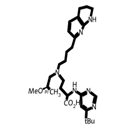 CO[C@H](C)CN(CCCCc1ccc2c(n1)NCCC2)CCC(Nc1cc(C(C)(C)C)ncn1)C(=O)O